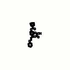 O=C(O)C(=O)O.O=C(Oc1ccc(CCCON2CCCCC2)cc1)c1ccccc1